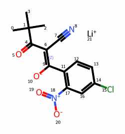 CC(C)(C)C(=O)/C(C#N)=C(\[O-])c1ccc(Cl)cc1[N+](=O)[O-].[Li+]